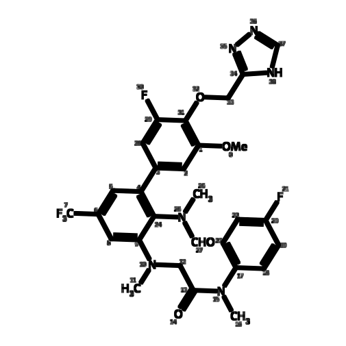 COc1cc(-c2cc(C(F)(F)F)cc(N(C)CC(=O)N(C)c3ccc(F)cc3)c2N(C)C=O)cc(F)c1OCc1nnc[nH]1